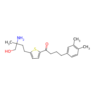 Cc1ccc(CCCC(=O)c2ccc(CCC(C)(N)CO)s2)cc1C